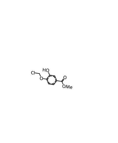 COC(=O)c1ccc(OCCl)c(O)c1